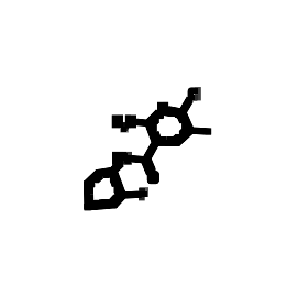 Cc1cc(C(=O)Nc2ccccc2F)c(N)nc1Cl